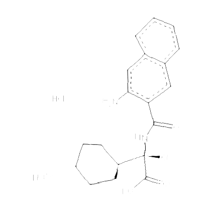 C[C@@](NC(=O)c1cc2ccccc2cc1N)(C(=O)O)[C@H]1CC[C@H](C)CC1.Cl